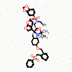 CC(C)CN(C[C@H]1OC(C)(C)N(C(=O)O)[C@@]1(CC1CCC(OCc2ccccc2CS(=O)(=O)c2ccccc2)CC1)c1coc2occc12)S(=O)(=O)c1ccc2c(c1)OCO2